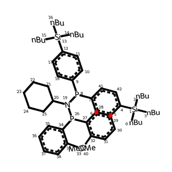 CCCC[Si](CCCC)(CCCC)c1ccc(P(c2ccc([Si](CCCC)(CCCC)CCCC)cc2)N(C2CCCCC2)P(c2ccccc2OC)c2ccccc2OC)cc1